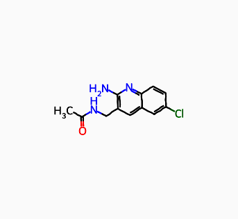 CC(=O)NCc1cc2cc(Cl)ccc2nc1N